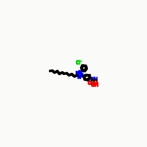 CCCCCCCCCCCc1nn(-c2ccc(NS(=O)(=O)O)cc2)[n+](-c2ccccc2)n1.[Cl-]